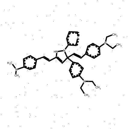 CCN(CC)c1ccc(C=CC2(c3ccc(N(CC)CC)cc3)C=C(C=Cc3ccc(N(C)C)cc3)NN2c2ccccc2)cc1